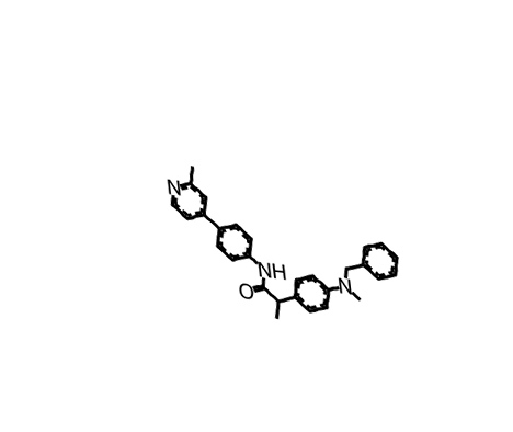 Cc1cc(-c2ccc(NC(=O)C(C)c3ccc(N(C)Cc4ccccc4)cc3)cc2)ccn1